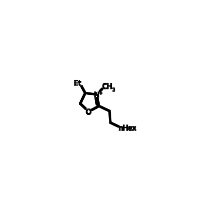 CCCCCCCCC1=[N+](C)C(CC)CO1